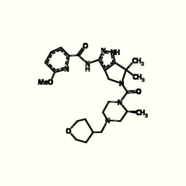 COc1cccc(C(=O)Nc2n[nH]c3c2CN(C(=O)N2CCN(CC4CCOCC4)C[C@@H]2C)C3(C)C)n1